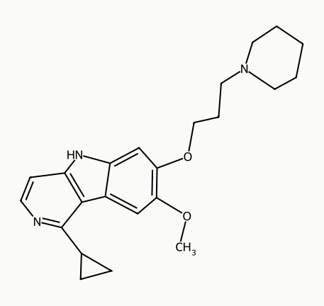 COc1cc2c(cc1OCCCN1CCCCC1)[nH]c1ccnc(C3CC3)c12